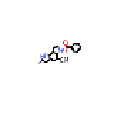 C[C@@H](N)Cc1cc(C#N)c2c(c1)CCN2OC(=O)c1ccccc1